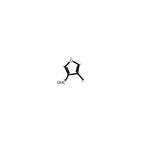 Cc1cocc1C=O